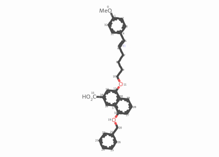 COc1ccc(/C=C/CCCCOc2cc(C(=O)O)cc3c(OCc4ccccc4)cccc23)cc1